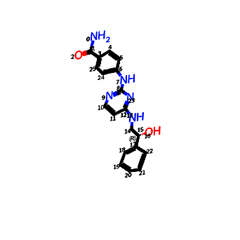 NC(=O)c1ccc(Nc2nccc(NC[C@H](O)c3ccccc3)n2)cc1